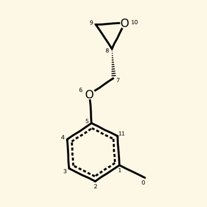 Cc1cccc(OC[C@@H]2CO2)c1